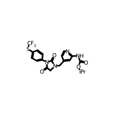 CC(C)OC(=O)Nc1cc(CN2CC(=O)N(c3ccc(SC(F)(F)F)cc3)C2=O)ccn1